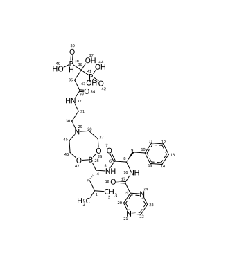 CC(C)C[C@@H](NC(=O)[C@@H](Cc1ccccc1)NC(=O)c1cnccn1)B1OCCN(CCNC(=O)CC(O)([PH](=O)O)P(=O)(O)O)CCO1